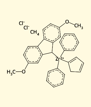 C.COc1ccc2c(c1)[CH]([Zr+2]([C]1=CC=CC1)([c]1ccccc1)[c]1ccccc1)c1cc(OC)ccc1-2.[Cl-].[Cl-]